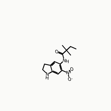 CCC(C)(C)C(=O)Nc1cc2c(cc1[N+](=O)[O-])NCC2